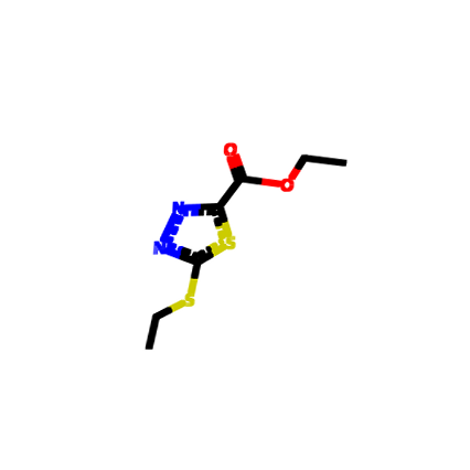 CCOC(=O)c1nnc(SCC)s1